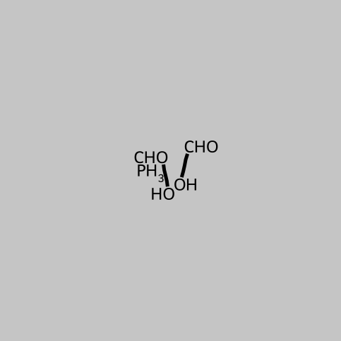 O=CO.O=CO.P